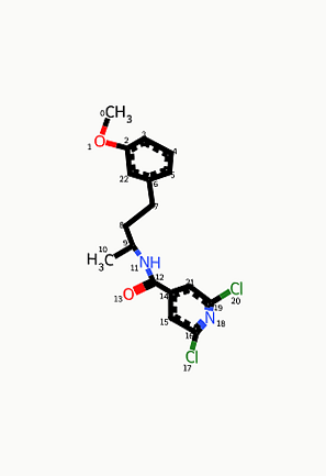 COc1cccc(CCC(C)NC(=O)c2cc(Cl)nc(Cl)c2)c1